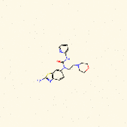 Nc1nc2ccc(N(CCN3CCOCC3)C(=O)Nc3ccccn3)cc2s1